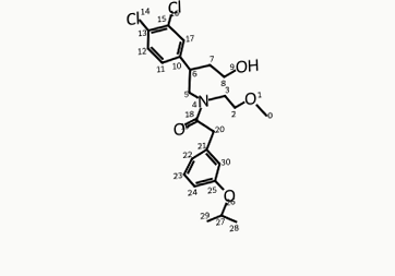 COCCN(CC(CCO)c1ccc(Cl)c(Cl)c1)C(=O)Cc1cccc(OC(C)C)c1